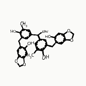 Cc1cc(C(c2cc(C)c(O)c(Cc3cc4c(cc3O)OCO4)c2)C(C)(C)C)cc(Cc2cc3c(cc2O)OCO3)c1O